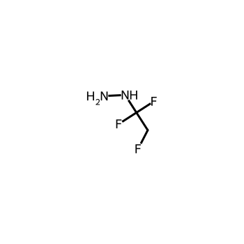 NNC(F)(F)CF